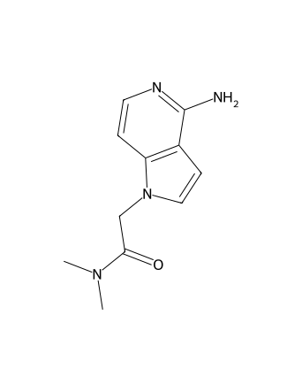 CN(C)C(=O)Cn1ccc2c(N)nccc21